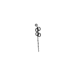 CCCCCC=CCC=CCC=CCCCCC(=O)OCCCOC(=O)C=Cc1ccccc1